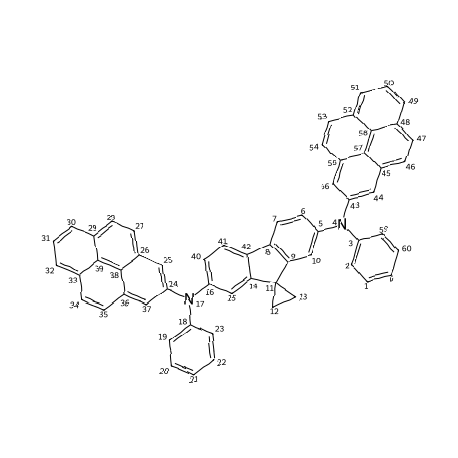 c1ccc(N(c2ccc3c(c2)C2(CC2)c2cc(N(c4ccccc4)c4cc5ccc6cccc7ccc(c4)c5c67)ccc2-3)c2cc3ccc4cccc5ccc(c2)c3c45)cc1